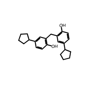 Oc1ccc(C2CCCC2)cc1Cc1cc(C2CCCC2)ccc1O